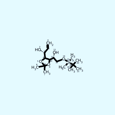 C=C[C@@H](O)C1OC(C)(C)OC1[C@H](O)CO[Si](C)(C)C(C)(C)C